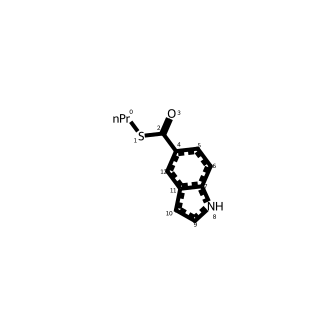 CCCSC(=O)c1ccc2[nH]ccc2c1